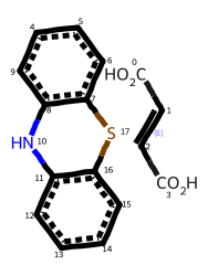 O=C(O)/C=C/C(=O)O.c1ccc2c(c1)Nc1ccccc1S2